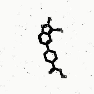 CCc1nn2ccc(N3CCN(C(=O)OC(C)(C)C)CC3)nc2c1N